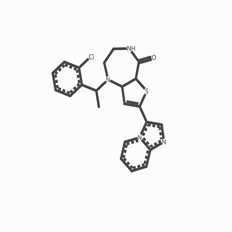 CC(c1ccccc1Cl)N1CCNC(=O)C2SC(c3cnc4ccccn34)=CC21